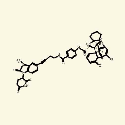 Cn1c(=O)n(C2CCC(=O)NC2=O)c2ccc(C#CCCNC(=O)c3ccc(NC(=O)[C@@H]4NC5(CCCCC5)[C@@]5(C(=O)Nc6cc(Cl)ccc65)[C@H]4C4(C)C=CC=C(Cl)C4F)cc3)cc21